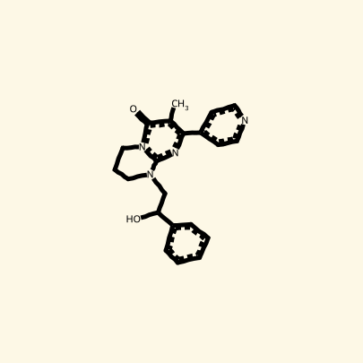 Cc1c(-c2ccncc2)nc2n(c1=O)CCCN2CC(O)c1ccccc1